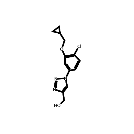 OCc1cn(-c2ccc(Cl)c(OCC3CC3)c2)nn1